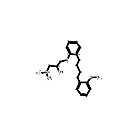 COc1ccccc1CCCCc1ccccc1OCC(O)CN(C)C